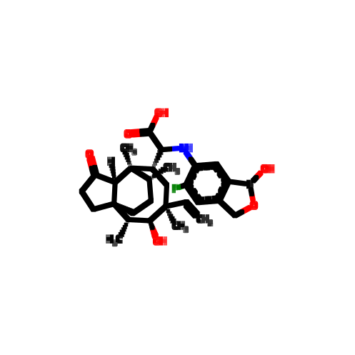 C=C[C@]1(C)C[C@@H](C(Nc2cc3c(cc2F)COB3O)C(=O)O)[C@@]2(C)[C@H](C)CC[C@]3(CCC(=O)[C@H]32)[C@@H](C)[C@@H]1O